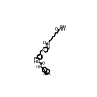 C[C@]12CC3CC(NC(=O)Nc4ccc(CN5CCC[C@H](C(=O)NCCCCCCC(=O)NO)C5)cc4F)(C1)C[C@@](C)(C3)C2